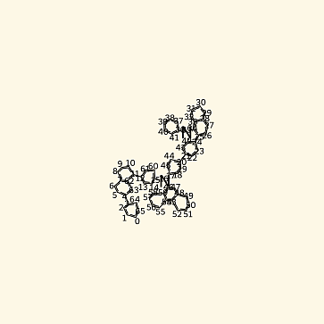 c1ccc(-c2ccc3cccc(-c4ccc(N(c5ccc(-c6ccc7c8ccc9ccccc9c8n(-c8ccccc8)c7c6)cc5)c5cc6ccccc6c6ccccc56)cc4)c3c2)cc1